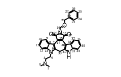 CN(C)CCn1c2c(c3ccccc31)C1=C(C(=O)N(COCc3ccccc3)C1=O)c1c([nH]c3ccccc13)C2